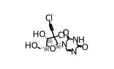 O=c1ncn([C@@H]2O[C@H](CO)[C@H](O)C2(Cl)C#CCl)c(=O)[nH]1